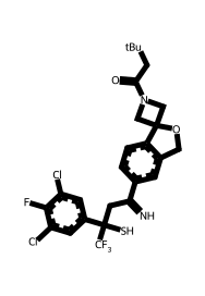 CC(C)(C)CC(=O)N1CC2(C1)OCc1cc(C(=N)CC(S)(c3cc(Cl)c(F)c(Cl)c3)C(F)(F)F)ccc12